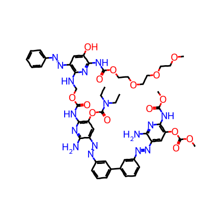 CCN(CC)C(=O)Oc1cc(/N=N/c2cccc(-c3cccc(/N=N/c4cc(OC(=O)OC)c(NC(=O)OC)nc4N)c3)c2)c(N)nc1NC(=O)OCNc1nc(NC(=O)OCCOCCOCCOC)c(O)cc1/N=N/c1ccccc1